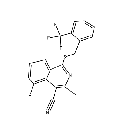 Cc1nc(SCc2ccccc2C(F)(F)F)c2cccc(F)c2c1C#N